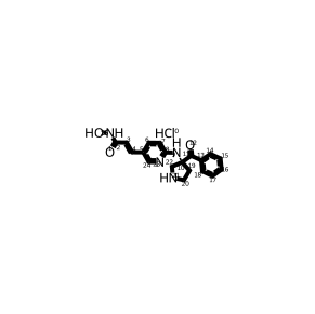 Cl.O=C(/C=C/c1ccc(N[C@]2(C(=O)c3ccccc3)CCNC2)nc1)NO